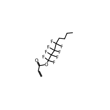 C=CC(=O)OC(F)(F)C(F)(F)C(F)(F)C(F)(F)CCCC